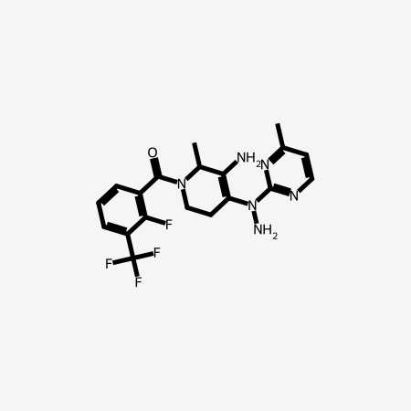 Cc1ccnc(N(N)C2=C(N)C(C)N(C(=O)c3cccc(C(F)(F)F)c3F)CC2)n1